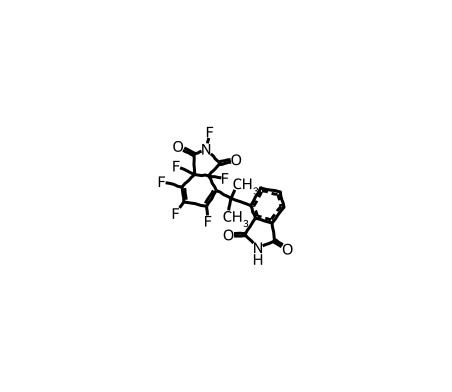 CC(C)(C1=C(F)C(F)=C(F)C2(F)C(=O)N(F)C(=O)C12F)c1cccc2c1C(=O)NC2=O